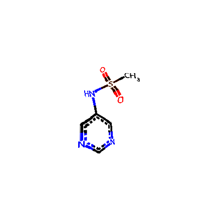 CS(=O)(=O)Nc1cncnc1